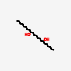 CCCCCCCCC(O)CCCCCCC(O)CCCCCC